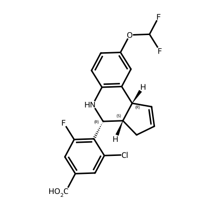 O=C(O)c1cc(F)c([C@@H]2Nc3ccc(OC(F)F)cc3[C@@H]3C=CC[C@@H]32)c(Cl)c1